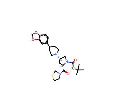 CC(C)(C)OC(=O)N1C[C@@H](N2CCC(c3ccc4c(c3)OCO4)CC2)C[C@H]1C(=O)N1CCSC1